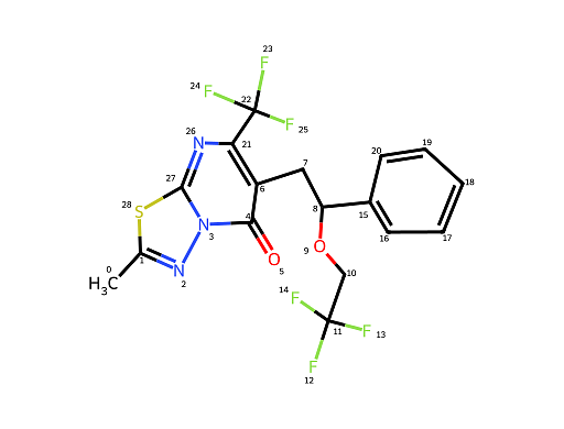 Cc1nn2c(=O)c(CC(OCC(F)(F)F)c3ccccc3)c(C(F)(F)F)nc2s1